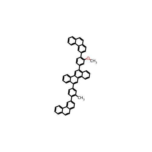 COc1cc(-c2cc3c4ccccc4c(-c4ccc(-c5ccc6ccc7ccccc7c6c5)c(C)c4)cc3c3ccccc23)ccc1-c1ccc2ccc3ccccc3c2c1